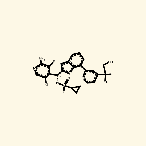 CC(O)(CO)c1ccnc(-c2cccc3cc([C@H](NS(=O)(=O)C4CC4)c4c(Cl)cnc(N)c4F)sc23)c1